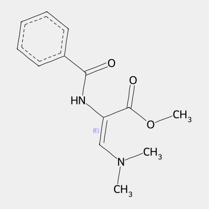 COC(=O)/C(=C\N(C)C)NC(=O)c1ccccc1